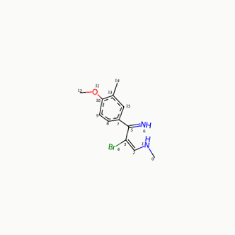 CN/C=C(/Br)C(=N)c1ccc(OC)c(C)c1